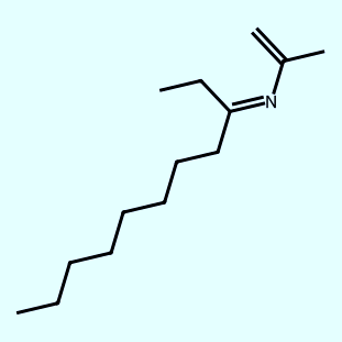 C=C(C)/N=C(\CC)CCCCCCCC